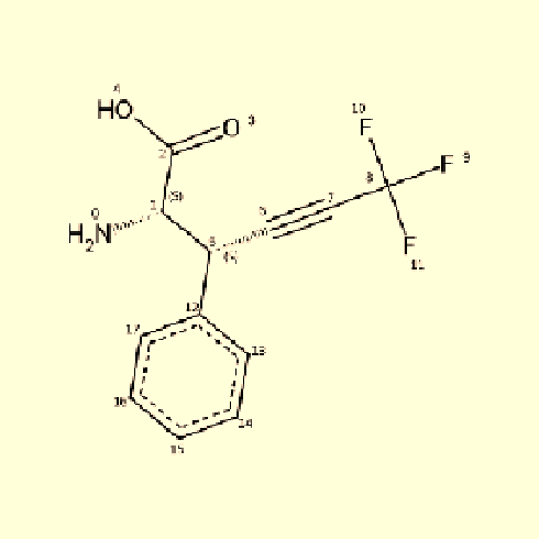 N[C@H](C(=O)O)[C@H](C#CC(F)(F)F)c1ccccc1